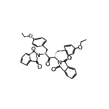 CCOc1ccc(C[C@@H](C(=O)[C@H](Cc2ccc(OCC)cc2)N2C(=O)c3ccccc3C2=O)N2C(=O)c3ccccc3C2=O)cc1